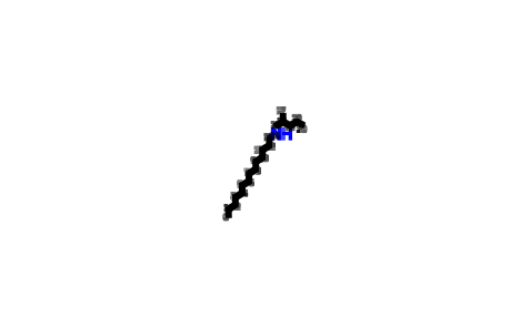 CCCCCCCCCCCCCCNCC(C)CCC